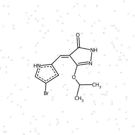 CC(C)OC1=NNC(=O)/C1=C/c1cc(Br)c[nH]1